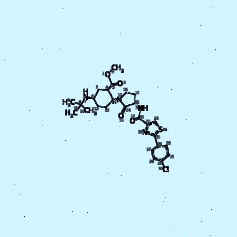 COC(=O)[C@@H]1C[C@H](NC(C)(C)C)CC[C@@H]1N1CC[C@H](NC(=O)c2csc(-c3ccc(Cl)cc3)n2)C1=O